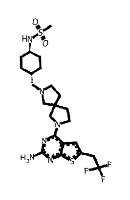 CS(=O)(=O)N[C@H]1CC[C@H](CN2CCC3(CCN(c4nc(N)nc5sc(CC(F)(F)F)cc45)C3)C2)CC1